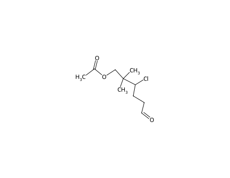 CC(=O)OCC(C)(C)C(Cl)CCC=O